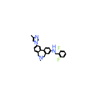 Cc1cn(-c2ccc3c(c2)-c2ccc(NCc4c(F)cccc4F)cc2CN(C)C3)cn1